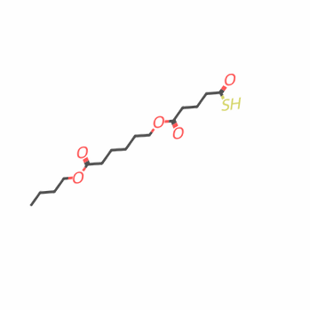 CCCCOC(=O)CCCCCOC(=O)CCCC(=O)S